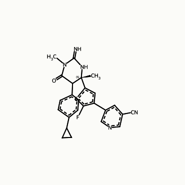 CN1C(=N)N[C@](C)(c2cc(-c3cncc(C#N)c3)c(F)s2)C(c2ccc(C3CC3)cc2)C1=O